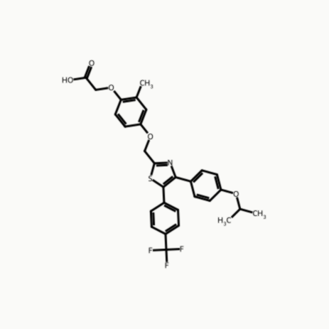 Cc1cc(OCc2nc(-c3ccc(OC(C)C)cc3)c(-c3ccc(C(F)(F)F)cc3)s2)ccc1OCC(=O)O